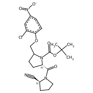 CC(C)(C)OC(=O)N1C(COc2ccc([N+](=O)[O-])cc2Cl)CC[C@H]1C(=O)N1CCC[C@H]1C#N